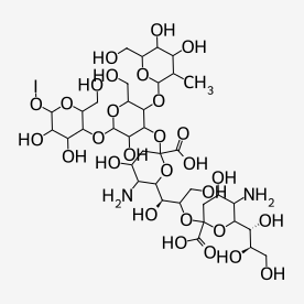 CC1C(OC2C(CO)OC(OC3C(CO)OC(OI)C(O)C3O)C(O)C2OC2(C(=O)O)CC(O)C(N)C([C@H](O)C(CO)OC3(C(=O)O)CC(O)C(N)C([C@H](O)[C@H](O)CO)O3)O2)OC(CO)C(O)C1O